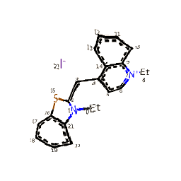 CCN1C(=Cc2cc[n+](CC)c3ccccc23)Sc2ccccc21.[I-]